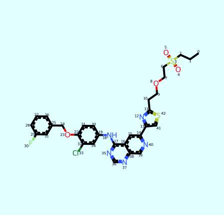 CCCS(=O)(=O)CCOCCc1nc(-c2cc3c(Nc4ccc(OCc5cccc(F)c5)c(Cl)c4)ncnc3cn2)cs1